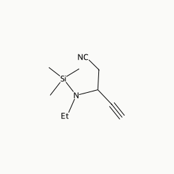 C#CC(CC#N)N(CC)[Si](C)(C)C